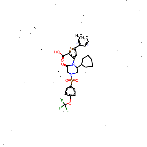 C/C=C\C(=C/C)c1cc(N2C(=O)CN(S(=O)(=O)c3ccc(OC(F)(F)F)cc3)CC2C2CCCCC2)c(C(=O)O)s1